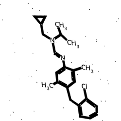 Cc1cc(N=CN(CC2CC2)C(C)C)c(C)cc1Cc1ccccc1Cl